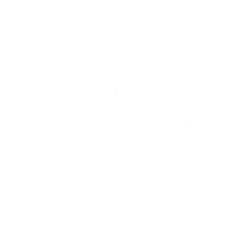 O=C(c1ccccc1)c1cc[c]c(Cl)c1